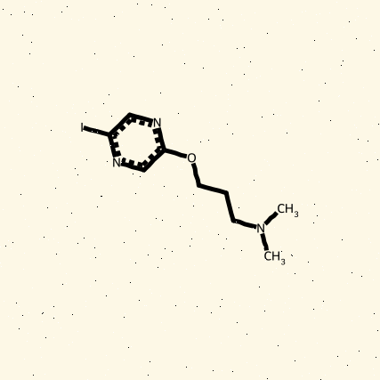 CN(C)CCCOc1cnc(I)cn1